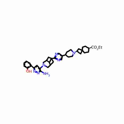 CCOC(=O)[C@H]1CCC2(CC1)C[C@H](N1CCC(c3cnc(C45CC6CN(c7cc(-c8ccccc8O)nnc7N)CC(C4)C65)nc3)CC1)C2